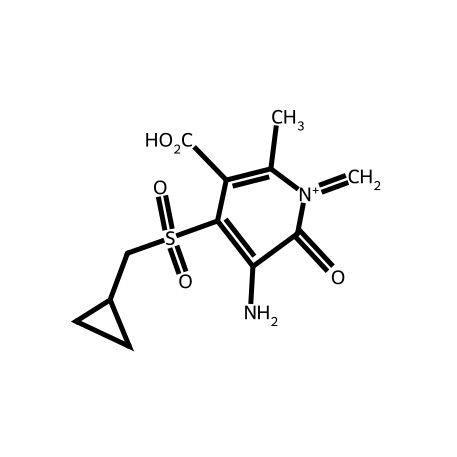 C=[N+]1C(=O)C(N)=C(S(=O)(=O)CC2CC2)C(C(=O)O)=C1C